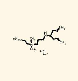 C=CCC(CC=C)NCCC[N+](C)(C)CCCCCCCCCCCC.Cl.[Br-]